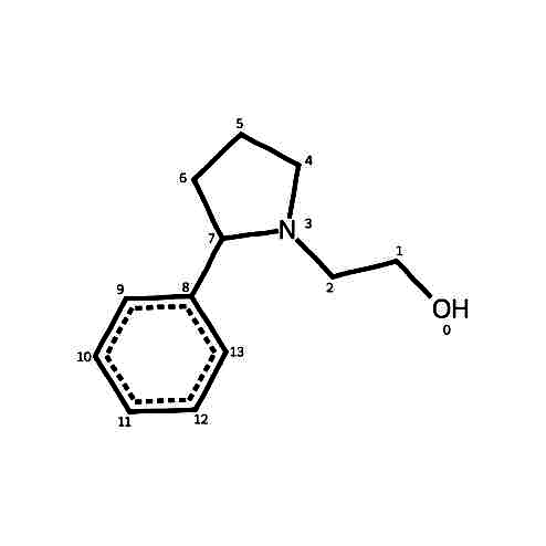 OCCN1CCCC1c1ccccc1